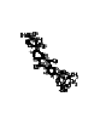 CC(C)(C)N(S(=O)(=O)O)S(=O)(=O)c1ccc2c(c1)C(=O)c1cc(S(=O)(=O)NS(=O)(=O)O)ccc1C2=O